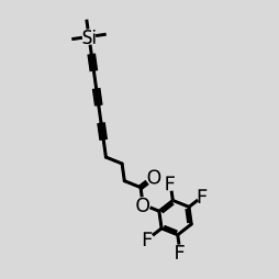 C[Si](C)(C)C#CC#CC#CCCCC(=O)Oc1c(F)c(F)cc(F)c1F